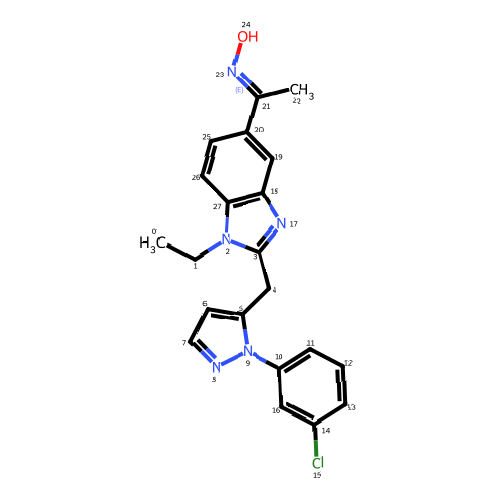 CCn1c(Cc2ccnn2-c2cccc(Cl)c2)nc2cc(/C(C)=N/O)ccc21